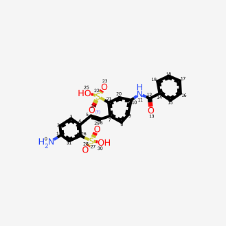 Nc1ccc(/C=C/c2ccc(NC(=O)c3ccccc3)cc2S(=O)(=O)O)c(S(=O)(=O)O)c1